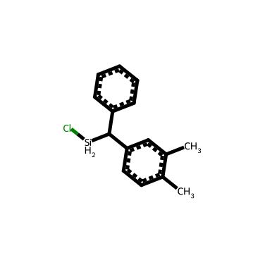 Cc1ccc(C([SiH2]Cl)c2ccccc2)cc1C